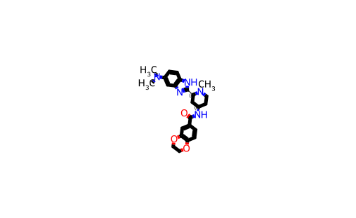 CN(C)c1ccc2[nH]c([C@H]3C[C@H](NC(=O)c4ccc5c(c4)OCCO5)CCN3C)nc2c1